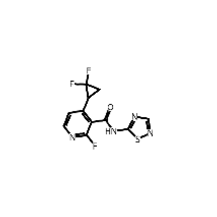 O=C(Nc1ncns1)c1c(C2CC2(F)F)ccnc1F